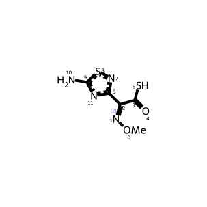 CO/N=C(\C(=O)S)c1nsc(N)n1